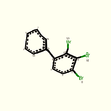 Brc1ccc(-c2ccccc2)c(Br)c1Br